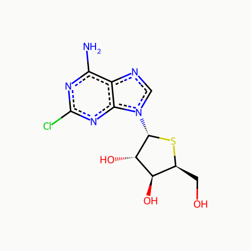 Nc1nc(Cl)nc2c1ncn2[C@@H]1S[C@@H](CO)[C@@H](O)[C@@H]1O